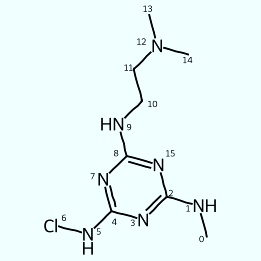 CNc1nc(NCl)nc(NCCN(C)C)n1